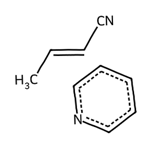 CC=CC#N.c1ccncc1